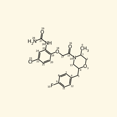 CC1COC(Cc2ccc(F)cc2)CN1C(=O)COc1ccc(Cl)cc1NC(N)=O